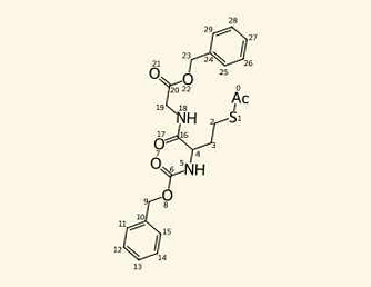 CC(=O)SCCC(NC(=O)OCc1ccccc1)C(=O)NCC(=O)OCc1ccccc1